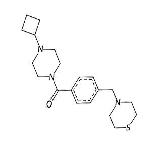 O=C(c1ccc(CN2CCSCC2)cc1)N1CCN(C2CCC2)CC1